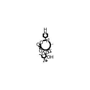 CO[C@]1(C)C[C@@H](C)CN(C)[C@H](C2CCNCC2)COC(=O)C(C)(C)C(=O)[C@H](C)[C@H]1O[C@@H]1O[C@H](C)C[C@H](N(C)C)[C@H]1O